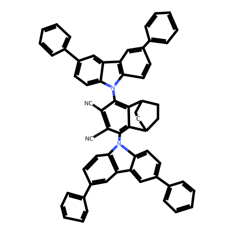 N#Cc1c(C#N)c(-n2c3ccc(-c4ccccc4)cc3c3cc(-c4ccccc4)ccc32)c2c(c1-n1c3ccc(-c4ccccc4)cc3c3cc(-c4ccccc4)ccc31)C1CCC2CC1